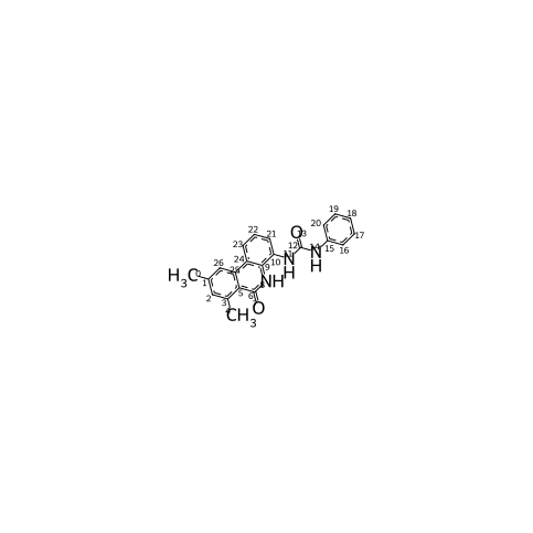 Cc1cc(C)c2c(=O)[nH]c3c(NC(=O)Nc4ccccc4)cccc3c2c1